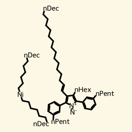 CCCCCCCCCCCCCCCCCCCCCCCC=CC1=C(c2cccc(CCCCC)c2)[N+](=[N-])C(c2cccc(CCCCC)c2)=C1CCCCCC.CCCCCCCCCCCCCCC[CH2][Ni][CH2]CCCCCCCCCCCCCCC